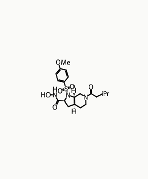 COc1ccc(S(=O)(=O)N2[C@H](C(=O)NO)C[C@@H]3CCN(C(=O)CC(C)C)C[C@@H]32)cc1